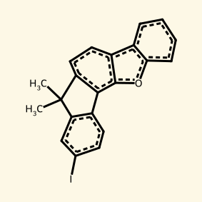 CC1(C)c2cc(I)ccc2-c2c1ccc1c2oc2ccccc21